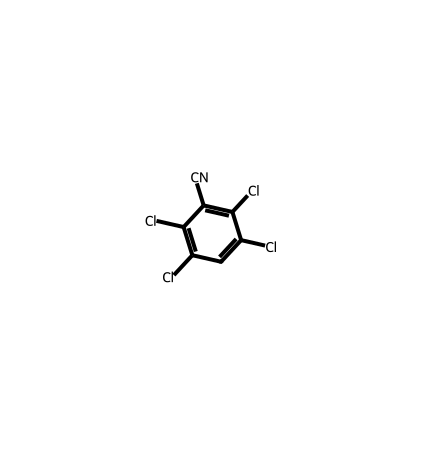 N#Cc1c(Cl)c(Cl)cc(Cl)c1Cl